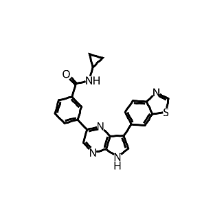 O=C(NC1CC1)c1cccc(-c2cnc3[nH]cc(-c4ccc5ncsc5c4)c3n2)c1